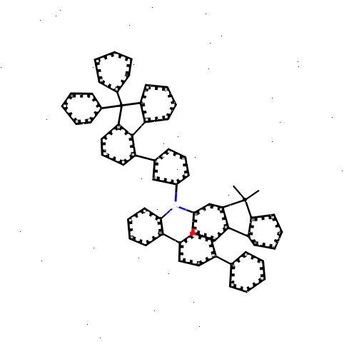 CC1(C)c2ccccc2-c2ccc(N(c3cccc(-c4cccc5c4-c4ccccc4C5(c4ccccc4)c4ccccc4)c3)c3ccccc3-c3ccc(-c4ccccc4)cc3)cc21